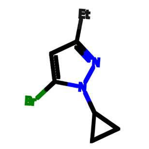 CCc1cc(Br)n(C2CC2)n1